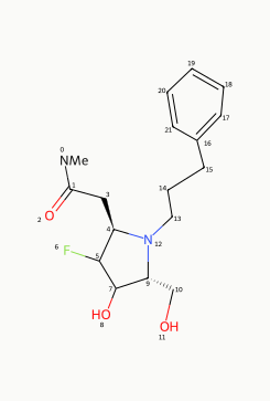 CNC(=O)C[C@@H]1C(F)C(O)[C@@H](CO)N1CCCc1ccccc1